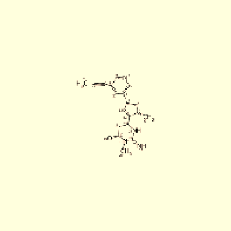 C=C1C=C(c2cncc(C#CC)c2)C=C1[C@@H]1CC(=O)N(C)C(=N)N1